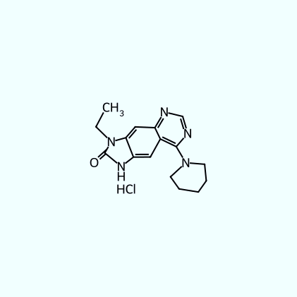 CCn1c(=O)[nH]c2cc3c(N4CCCCC4)ncnc3cc21.Cl